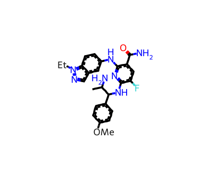 CCn1ncc2cc(Nc3nc(NC(c4ccc(OC)cc4)C(C)N)c(F)cc3C(N)=O)ccc21